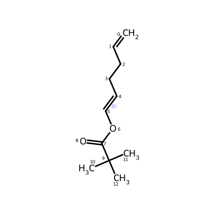 C=CCC/C=C/OC(=O)C(C)(C)C